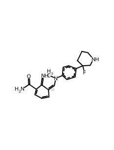 CN(/C=C1/C=CC=C(C(N)=O)C1=N)c1ccc(C2(F)CCCNC2)cc1